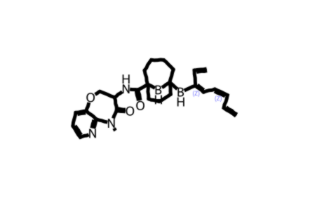 C=C/C=C\C=C(\BC12BC(C(=O)NC3COc4cccnc4N(C)C3=O)(CCCC1)CCC2)C=C